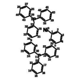 [Ni][c]1ccccc1.c1ccc(P(c2ccccc2)c2ccccc2)cc1.c1ccc(P(c2ccccc2)c2ccccc2)cc1